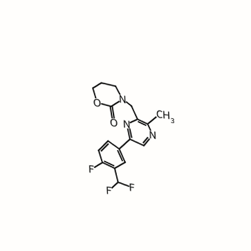 Cc1ncc(-c2ccc(F)c(C(F)F)c2)nc1CN1CCCOC1=O